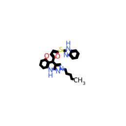 CCCCCn1cc2c(n1)NC1=C(C(=O)CCC1)C2c1ccc(Sc2nc3ccccc3[nH]2)o1